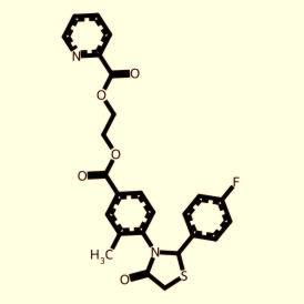 Cc1cc(C(=O)OCCOC(=O)c2ccccn2)ccc1N1C(=O)CSC1c1ccc(F)cc1